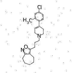 Cc1cc(Cl)ccc1C1=CCN(CCCc2onc3c2CCCCC3)CC1